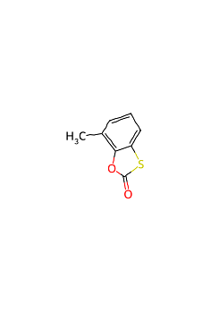 Cc1cccc2sc(=O)oc12